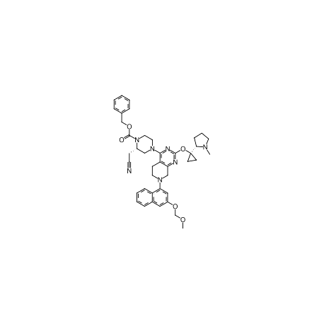 COCOc1cc(N2CCc3c(nc(OC4([C@@H]5CCCN5C)CC4)nc3N3CCN(C(=O)OCc4ccccc4)[C@@H](CC#N)C3)C2)c2ccccc2c1